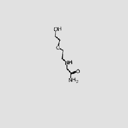 NC(=O)CNCCOCCO